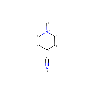 CN1C[CH]C(C#N)CC1